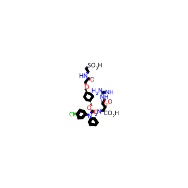 N=C(N)NCCC[C@H](N)C(=O)O.O.O=C(COC[C@H]1CC[C@H](COC(=O)N(c2ccccc2)c2ccc(Cl)cc2)CC1)NCCS(=O)(=O)O